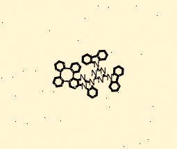 c1ccc2c(c1)-c1ccccc1-c1ccc3c(nc4n(-c5nc(-n6c7ccccc7c7ccccc76)nc(-n6c7ccccc7c7ccccc76)n5)c5ccccc5n34)c1-c1ccccc1-2